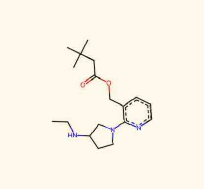 CCNC1CCN(c2ncccc2COC(=O)CC(C)(C)C)C1